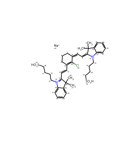 CC1(C)C(=CC=C2CCCC(C=CC3=[N+](CCCCS(=O)(=O)O)c4ccccc4C3(C)C)=C2Cl)N(CCCCS(=O)(=O)O)c2ccccc21.[Na+]